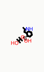 Cc1cc2c(B(O)OC(C)(C)C(C)(C)O)cccc2[nH]1